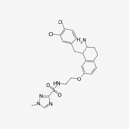 Cn1cnc(S(=O)(=O)NCCOc2ccc3c(c2)C(Cc2ccc(Cl)c(Cl)c2)C(N)CC3)n1